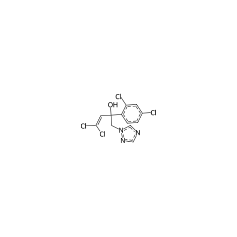 OC(C=C(Cl)Cl)(Cn1cncn1)c1ccc(Cl)cc1Cl